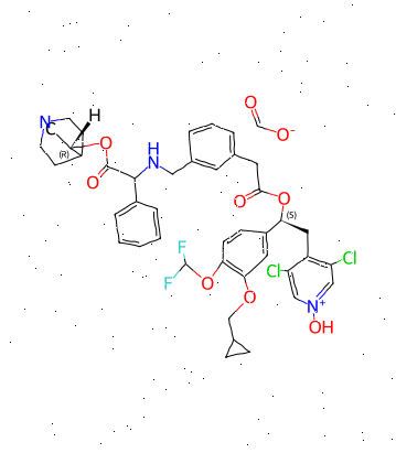 O=C(Cc1cccc(CNC(C(=O)O[C@H]2CN3CCC2CC3)c2ccccc2)c1)O[C@@H](Cc1c(Cl)c[n+](O)cc1Cl)c1ccc(OC(F)F)c(OCC2CC2)c1.O=C[O-]